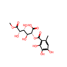 COC(=O)[C@@H](O)[C@H](O)[C@H](O)[C@@H](OC(=O)c1c(C)cc(O)c(O)c1O)C(=O)O